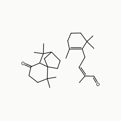 CC(C=O)=CCC1=C(C)CCCC1(C)C.CC1(C)C2CCC3(C2)C1C(=O)CCC3(C)C